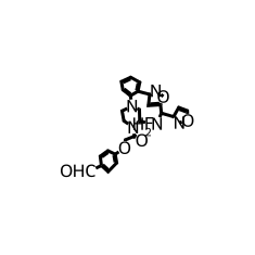 NC(c1ccon1)c1cc(-c2ccccc2N2CCN(C(=O)COc3ccc(C=O)cc3)C(F)C2)no1